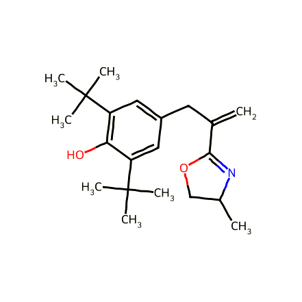 C=C(Cc1cc(C(C)(C)C)c(O)c(C(C)(C)C)c1)C1=NC(C)CO1